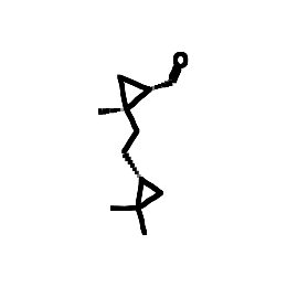 CC1(C)C[C@H]1CC[C@@]1(C)C[C@@H]1C=O